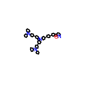 c1ccc(N(c2ccccc2)c2ccc(-c3ccc4c(c3)c3cc(-c5ccc(N(c6ccccc6)c6ccccc6)cc5)ccc3n4-c3ccc(-c4ccc(-c5ccc6c(c5)oc5ncccc56)cc4)cc3)cc2)cc1